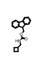 O=C(NCC1CCC1)OCC1c2ccccc2-c2ccccc21